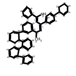 CC(/C=C(\C=C(/N)c1ccccc1)c1ccc(C2C=CCCC2)cc1)c1cccc(C2=CC=CCC2c2ccccc2-c2ccccc2-c2ccccc2)c1